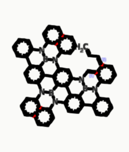 C=C/C=C\C=C\N1B2c3c(ccc4c3-c3c1cc1c5c3B(N4c3ccccc3)N(c3ccccc3)c3ccc4c(c3-5)B(N(c3ccccc3)c3ccccc3-4)N1c1ccccc1)-c1ccccc1N2c1ccccc1